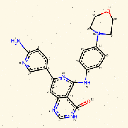 Nc1ccc(-c2cc3nc[nH]c(=O)c3c(Nc3ccc(N4CCOCC4)cc3)n2)cn1